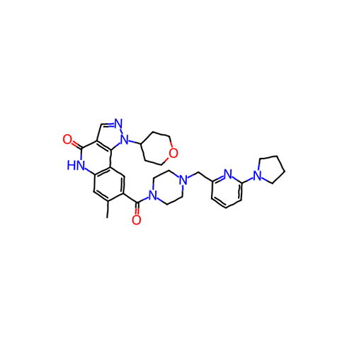 Cc1cc2[nH]c(=O)c3cnn(C4CCOCC4)c3c2cc1C(=O)N1CCN(Cc2cccc(N3CCCC3)n2)CC1